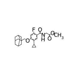 COC(=O)CNC(=O)c1cc(C2CC2)c(OCC23CC4CC(CC(C4)C2)C3)cc1F